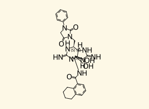 N=C1N[C@H]2[C@H](CN3C(=O)CN(c4ccccc4)C3=O)NC(=N)N3CC(NC(=O)c4cccc5c4CCCC5)C(O)(O)[C@]23N1